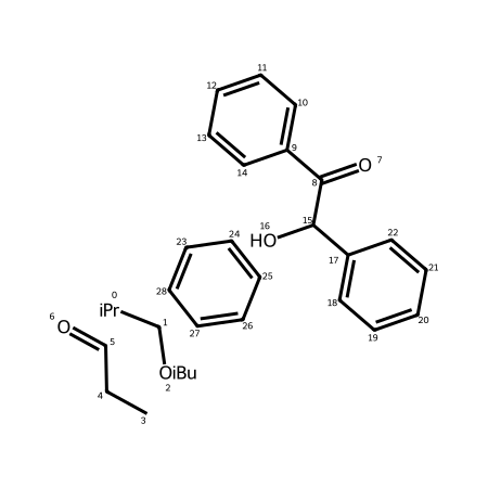 CC(C)COCC(C)C.CCC=O.O=C(c1ccccc1)C(O)c1ccccc1.c1ccccc1